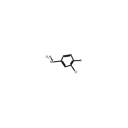 O=[N+]([O-])Nc1ccc(F)c(Cl)c1